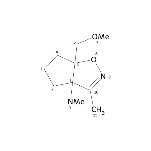 CNC12CCCC1(COC)ON=C2C